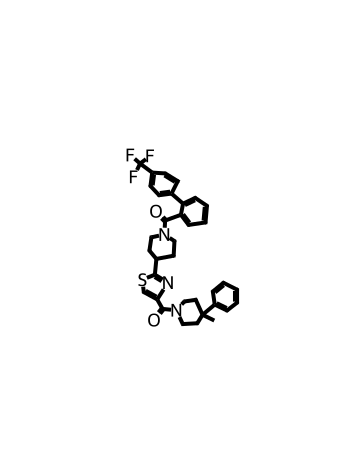 CC1(c2ccccc2)CCN(C(=O)c2csc(C3CCN(C(=O)c4ccccc4-c4ccc(C(F)(F)F)cc4)CC3)n2)CC1